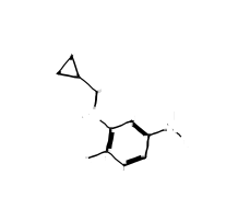 ONc1ccc(Cl)c(OCC2CC2)c1